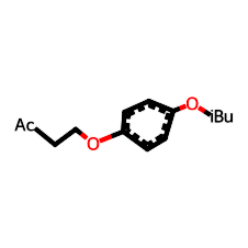 CCC(C)Oc1ccc(OCCC(C)=O)cc1